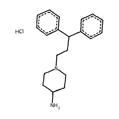 Cl.NC1CCN(CCC(c2ccccc2)c2ccccc2)CC1